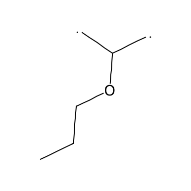 [CH2]C([CH2])OCCC